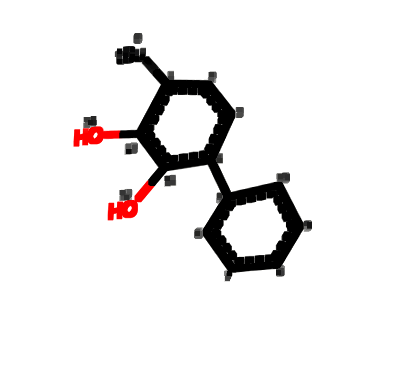 CC(C)(C)c1ccc(-c2ccccc2)c(O)c1O